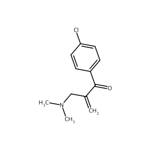 C=C(CN(C)C)C(=O)c1ccc(Cl)cc1